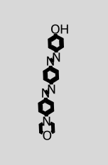 Oc1ccc(N=Nc2ccc(N=Nc3ccc(N4CCOCC4)cc3)cc2)cc1